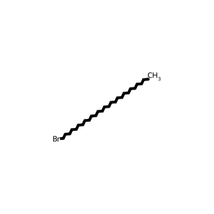 CCCCCCCCCCCCCCCCCCCCCCCCCCCCBr